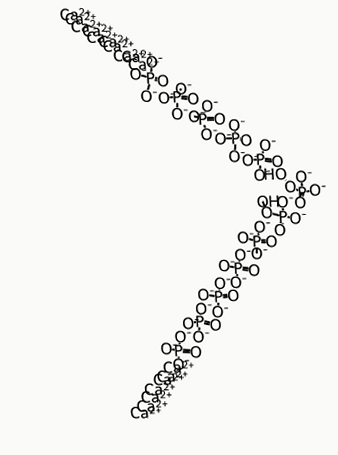 O=P([O-])([O-])OO.O=P([O-])([O-])OO.O=P([O-])([O-])[O-].O=P([O-])([O-])[O-].O=P([O-])([O-])[O-].O=P([O-])([O-])[O-].O=P([O-])([O-])[O-].O=P([O-])([O-])[O-].O=P([O-])([O-])[O-].O=P([O-])([O-])[O-].O=P([O-])([O-])[O-].O=P([O-])([O-])[O-].[Ca+2].[Ca+2].[Ca+2].[Ca+2].[Ca+2].[Ca+2].[Ca+2].[Ca+2].[Ca+2].[Ca+2].[Ca+2].[Ca+2].[Ca+2].[Ca+2].[Ca+2].[Ca+2].[Ca+2]